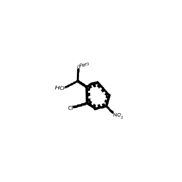 CCCCCC(O)c1ccc([N+](=O)[O-])cc1Cl